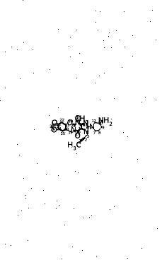 CC#CCn1c(N2CCCC(N)C2)nc2c1c(=O)n(Cc1ccc3c(c1)OCO3)c(=O)n2C